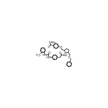 COC(=O)c1ccc(OCC2CCC(COCc3ccccc3)N2NC(=O)Cc2ccc(NC(=O)Nc3ccccc3C)cc2)cc1